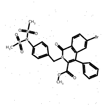 COC(=O)c1c(-c2ccccc2)c2cc(Br)ccc2c(=O)n1Cc1ccc(N(S(C)(=O)=O)S(C)(=O)=O)cc1